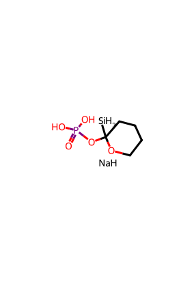 O=P(O)(O)OC1([SiH3])CCCCO1.[NaH]